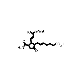 CCCCCC(O)C=CC1C(C(N)=O)CC(=O)C1CC=CCCCC(=O)O